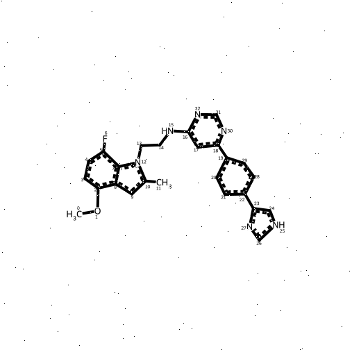 COc1ccc(F)c2c1cc(C)n2CCNc1cc(-c2ccc(-c3c[nH]cn3)cc2)ncn1